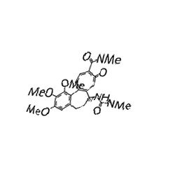 CNC(=O)N[C@H]1CCc2cc(OC)c(OC)c(OC)c2-c2ccc(C(=O)NC)c(=O)cc21